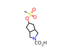 CS(=O)(=O)OC1CC2CN(C(=O)O)CC2C1